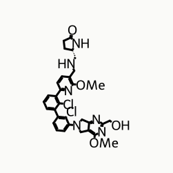 COc1nc(-c2cccc(-c3cccc(N4Cc5nc(CO)nc(OC)c5C4)c3Cl)c2Cl)ccc1CNC[C@@H]1CCC(=O)N1